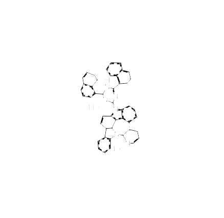 Cc1cccc2c1c1c(n2C2N=C(C3=c4ccccc4=CCC3)NC(c3cccc4c3CCC=C4)N2C)C=CC2c3ccccc3N(C3CCC=CN3C)C12